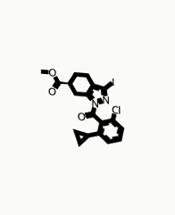 COC(=O)[C@H]1CCc2c(I)nn(C(=O)c3c(Cl)cccc3C3CC3)c2C1